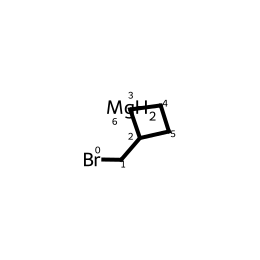 BrCC1CCC1.[MgH2]